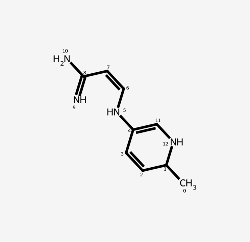 CC1C=CC(N/C=C\C(=N)N)=CN1